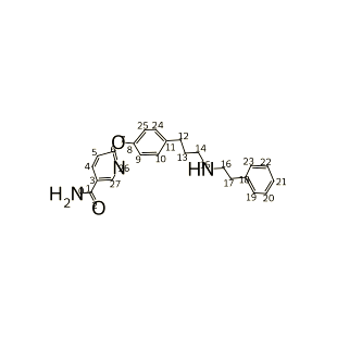 NC(=O)c1ccc(Oc2ccc(CCCNCCc3ccccc3)cc2)nc1